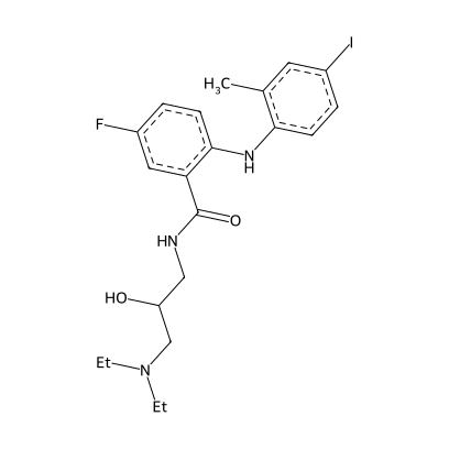 CCN(CC)CC(O)CNC(=O)c1cc(F)ccc1Nc1ccc(I)cc1C